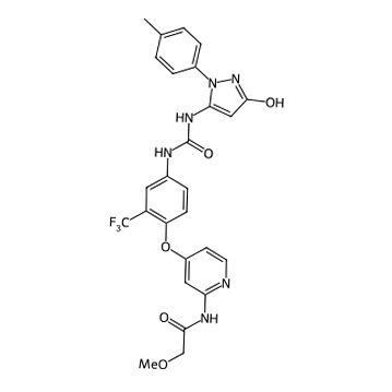 COCC(=O)Nc1cc(Oc2ccc(NC(=O)Nc3cc(O)nn3-c3ccc(C)cc3)cc2C(F)(F)F)ccn1